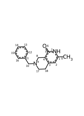 Cc1cc2c(c(=O)[nH]1)CN(Cc1ccccc1)CC2